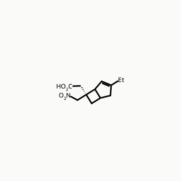 CCC1=CC2C(C1)C[C@@]2(CC(=O)O)C[N+](=O)[O-]